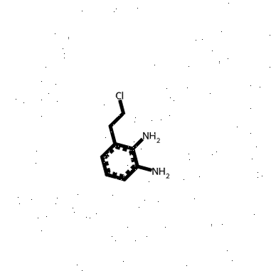 Nc1cccc(CCCl)c1N